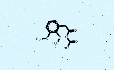 COc1cccc(CC(=O)OC(=O)O)c1OC